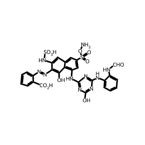 NOS(=O)(=O)c1cc(Nc2nc(O)nc(Nc3ccccc3NC=O)n2)c2c(O)c(N=Nc3ccccc3C(=O)O)c(NS(=O)(=O)O)cc2c1